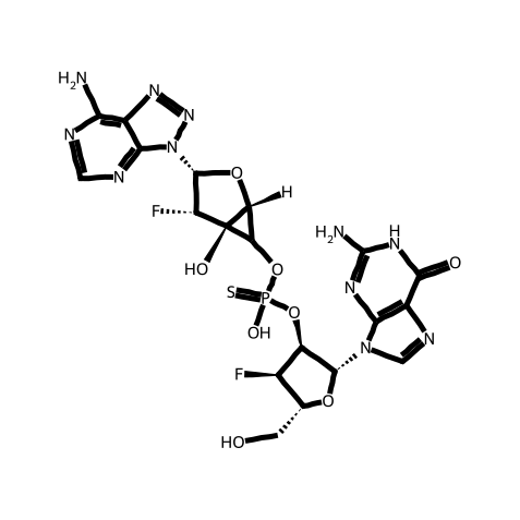 Nc1nc2c(ncn2[C@@H]2O[C@H](CO)[C@@H](F)[C@H]2OP(O)(=S)OC2[C@H]3O[C@@H](n4nnc5c(N)ncnc54)[C@@H](F)[C@@]23O)c(=O)[nH]1